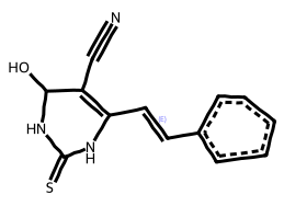 N#CC1=C(/C=C/c2ccccc2)NC(=S)NC1O